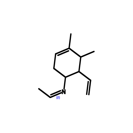 C=CC1C(/N=C\C)CC=C(C)C1C